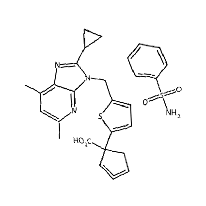 Cc1cc(C)c2nc(C3CC3)n(Cc3ccc(C4(C(=O)O)C=C=CC4)s3)c2n1.NS(=O)(=O)c1ccccc1